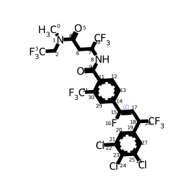 CN(CC(F)(F)F)C(=O)CC(NC(=O)c1ccc(/C(F)=C/C(c2cc(Cl)c(Cl)c(Cl)c2)C(F)(F)F)cc1C(F)(F)F)C(F)(F)F